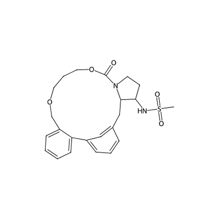 CS(=O)(=O)NC1CCN2C(=O)OCCCOCc3ccccc3-c3cccc(c3)CC12